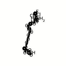 CC(Oc1cc(C(=O)Nc2ccc(C(=O)N3C[C@@H](C)N(C(=O)CCOCCOCCOCCSc4cccc5c4CN(C4CCC(=O)NC4=O)C5=O)[C@@H](C)C3)cc2)nnc1N)c1c(Cl)ccc(F)c1Cl